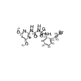 COc1cc(OC)nc(NC(=O)NS(=O)(=O)Nc2ccccc2C#CBr)n1